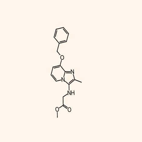 COC(=O)CNc1c(C)nc2c(OCc3ccccc3)cccn12